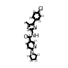 Cc1sc(NC(=O)c2ccc(N3CCCC3)nc2)nc1-c1ccc(Cl)cc1